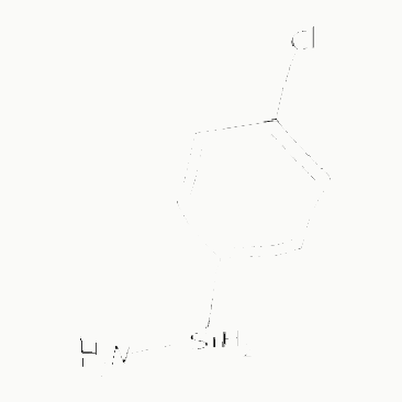 N[SiH2]c1ccc(Cl)cc1